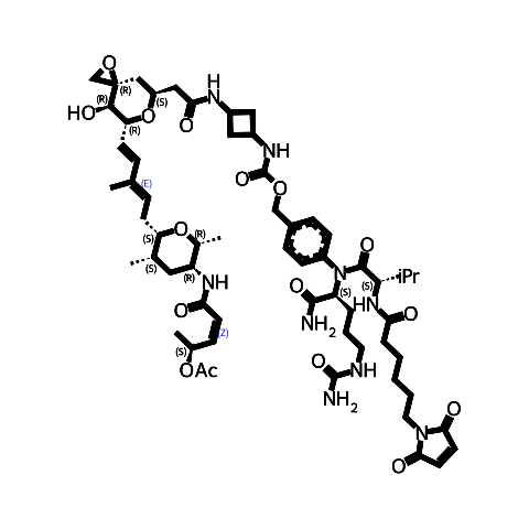 CC(=O)O[C@@H](C)/C=C\C(=O)N[C@@H]1C[C@H](C)[C@H](C/C=C(\C)C=C[C@H]2O[C@H](CC(=O)NC3CC(NC(=O)OCc4ccc(N(C(=O)[C@@H](NC(=O)CCCCCN5C(=O)C=CC5=O)C(C)C)[C@@H](CCCNC(N)=O)C(N)=O)cc4)C3)C[C@@]3(CO3)[C@@H]2O)O[C@@H]1C